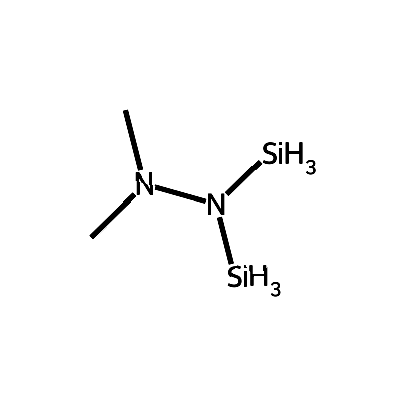 CN(C)N([SiH3])[SiH3]